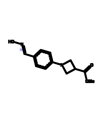 COC(=O)C1CN(c2ccc(/C=N/O)cc2)C1